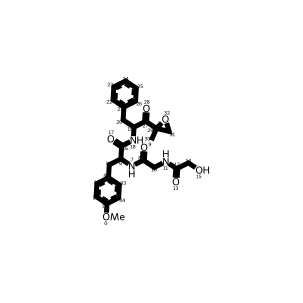 COc1ccc(CC(NC(=O)CNC(=O)CO)C(=O)NC(Cc2ccccc2)C(=O)C2(C)CO2)cc1